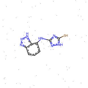 Sc1nc(Nc2cccc3nn[nH]c23)n[nH]1